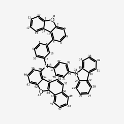 c1cc(-c2cccc3oc4ccccc4c23)cc(N(c2ccc(-n3c4ccccc4c4ccccc43)cc2)c2cccc3oc4c5ccccc5ccc4c23)c1